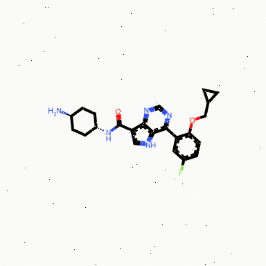 N[C@H]1CC[C@H](NC(=O)c2c[nH]c3c(-c4cc(F)ccc4OCC4CC4)ncnc23)CC1